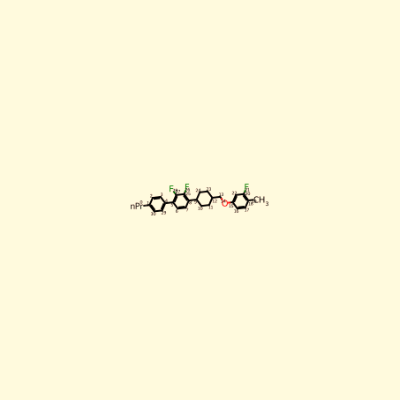 CCCc1ccc(-c2ccc(C3CCC(COc4ccc(C)c(F)c4)CC3)c(F)c2F)cc1